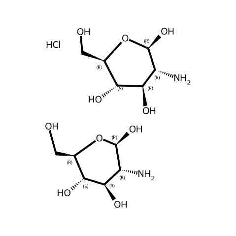 Cl.N[C@@H]1[C@@H](O)[C@H](O)[C@@H](CO)O[C@H]1O.N[C@@H]1[C@@H](O)[C@H](O)[C@@H](CO)O[C@H]1O